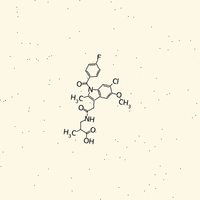 COc1cc2c(CC(=O)NCC(C)C(=O)O)c(C)n(C(=O)c3ccc(F)cc3)c2cc1Cl